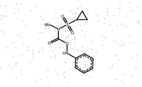 CC(C)(C)N(C(=O)ONc1ccccc1)S(=O)(=O)C1CC1